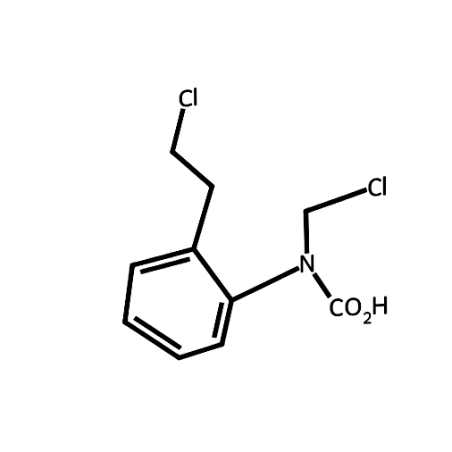 O=C(O)N(CCl)c1ccccc1CCCl